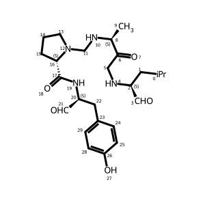 CC(C)C[C@@H](C=O)NCC(=O)[C@H](C)NCN1CCC[C@H]1C(=O)N[C@H](C=O)Cc1ccc(O)cc1